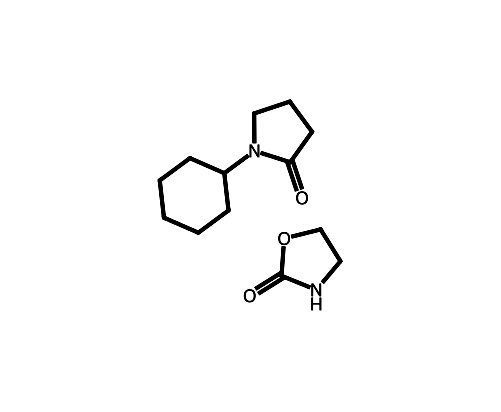 O=C1CCCN1C1CCCCC1.O=C1NCCO1